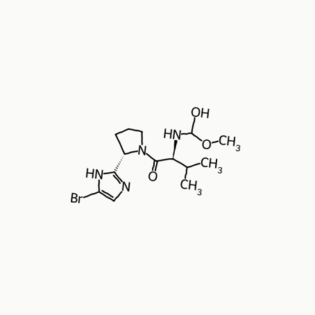 COC(O)N[C@H](C(=O)N1CCC[C@H]1c1ncc(Br)[nH]1)C(C)C